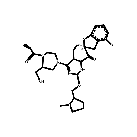 C=CC(=O)N1CCN(C2=NC(OCC3CCCN3C)NC3C(=O)[C@]4(CCC23)Cc2c(F)cccc2S4)CC1CC#N